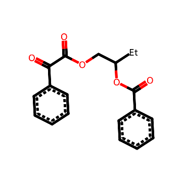 CCC(COC(=O)C(=O)c1ccccc1)OC(=O)c1ccccc1